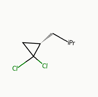 CC(C)C[C@H]1CC1(Cl)Cl